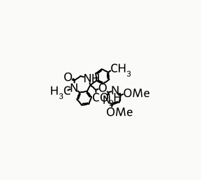 COc1cc(OC)nc(OC(C(=O)O)C2(c3ccc(C)cc3)NCC(=O)N(C)c3ccccc32)n1